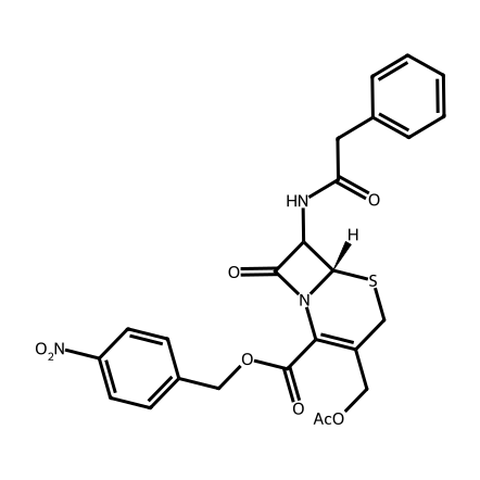 CC(=O)OCC1=C(C(=O)OCc2ccc([N+](=O)[O-])cc2)N2C(=O)C(NC(=O)Cc3ccccc3)[C@@H]2SC1